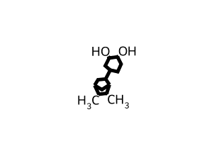 CC1C2CC(C3CCC(O)C(O)C3)C(C2)C1C